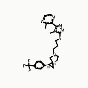 Cc1nccnc1-c1nnc(SCCCN2CC[C@@]3(C[C@H]3c3ccc(C(F)(F)F)cc3)C2)n1C